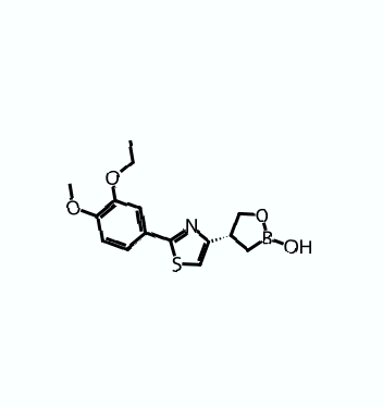 CCOc1cc(-c2nc([C@@H]3COB(O)C3)cs2)ccc1OC